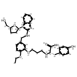 CCOc1ccc(CNc2nc3ccccc3n2[C@H]2CC[C@@H](CO)O2)cc1OCCCN[C@@H](Cc1ccc(O)cc1)C(N)=O